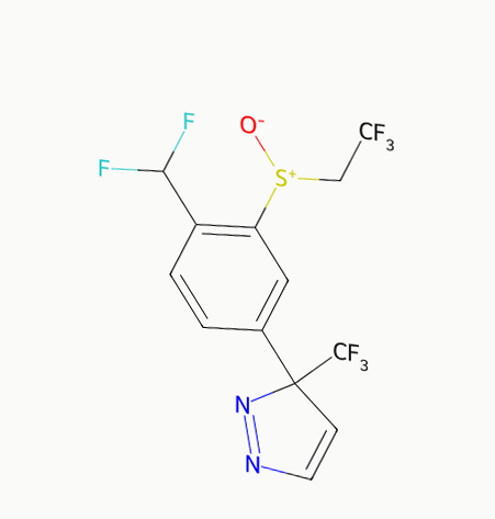 [O-][S+](CC(F)(F)F)c1cc(C2(C(F)(F)F)C=CN=N2)ccc1C(F)F